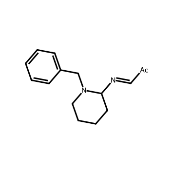 CC(=O)C=NC1CCCCN1Cc1ccccc1